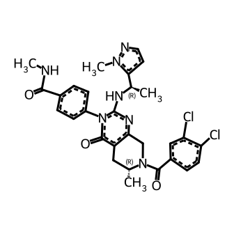 CNC(=O)c1ccc(-n2c(N[C@H](C)c3ccnn3C)nc3c(c2=O)C[C@@H](C)N(C(=O)c2ccc(Cl)c(Cl)c2)C3)cc1